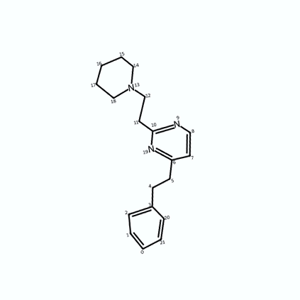 c1ccc(CCc2ccnc(CCN3CCCCC3)n2)cc1